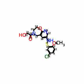 COc1ccc(Cl)cc1SNc1cnc2c(c1)CN(C(=O)CO)CCO2